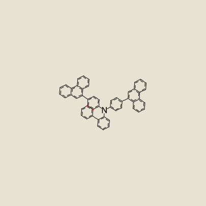 c1ccc(-c2ccccc2N(c2ccc(-c3cc4ccccc4c4ccccc34)cc2)c2ccc(-c3cc4ccccc4c4ccccc34)cc2)cc1